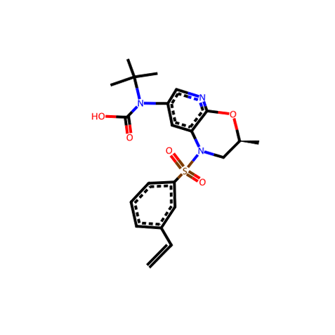 C=Cc1cccc(S(=O)(=O)N2C[C@H](C)Oc3ncc(N(C(=O)O)C(C)(C)C)cc32)c1